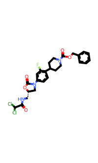 O=C(NC[C@H]1CN(c2ccc(C3CCN(C(=O)OCc4ccccc4)CC3)c(F)c2)C(=O)O1)C(Cl)Cl